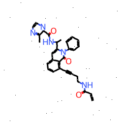 C=CC(=O)NCCC#Cc1cccc2cc(C(C)NC(=O)c3nccnc3C)n(-c3ccccc3)c(=O)c12